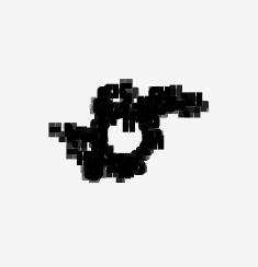 COc1ccc(C[C@H]2NC(=O)[C@H](CCN)NC(=O)[C@@H](NC(=O)[C@H](CCCNC(=N)N)NC(C)=O)CCC(=O)NCCC[C@@H](C(N)=O)NC(=O)[C@H](Cc3c[nH]c4ccccc34)NC(=O)[C@H](CCCNC(=N)N)NC2=O)cc1